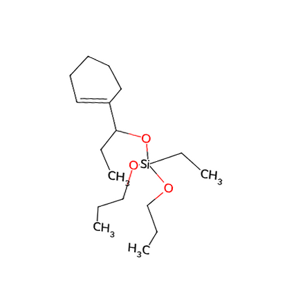 CCCO[Si](CC)(OCCC)OC(CC)C1=CCCCC1